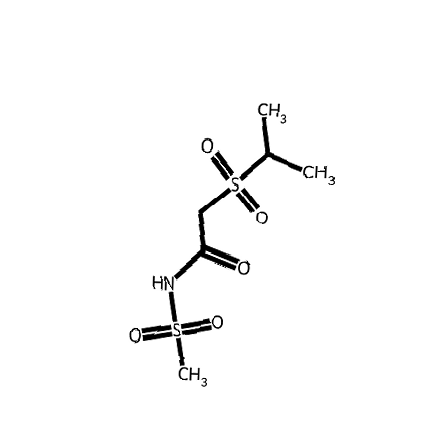 CC(C)S(=O)(=O)CC(=O)NS(C)(=O)=O